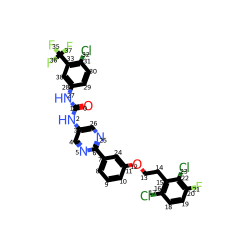 O=C(Nc1cnc(-c2cccc(OCCc3c(Cl)ccc(F)c3Cl)c2)nc1)Nc1ccc(Cl)c(C(F)(F)F)c1